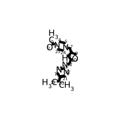 CC(=O)N1CCN(CC2COC(CNc3ncc(C(C)C)cn3)C2)CC1